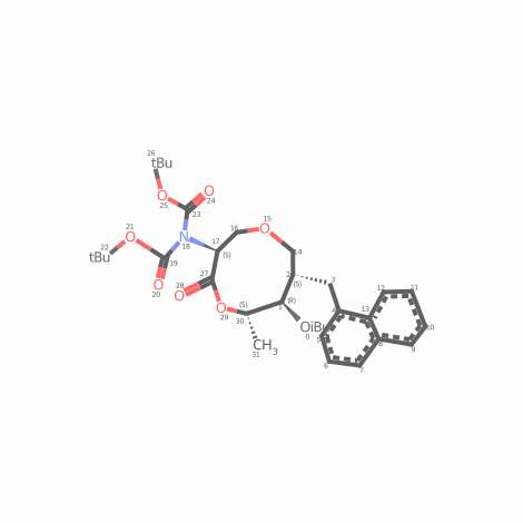 CC(C)CO[C@@H]1[C@@H](Cc2cccc3ccccc23)COC[C@H](N(C(=O)OC(C)(C)C)C(=O)OC(C)(C)C)C(=O)O[C@H]1C